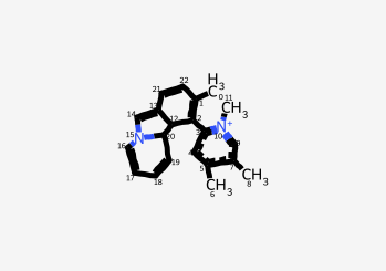 CC1=C(c2cc(C)c(C)c[n+]2C)C2C(=CN3C=CC=CC23)C=C1